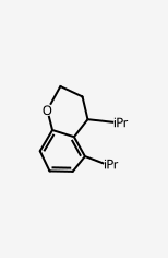 CC(C)c1cccc2c1C(C(C)C)CCO2